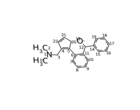 CN(C)CC1=C(c2ccccc2C([O])c2ccccc2)CC=C1